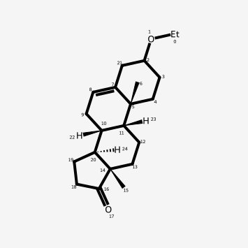 CCOC1CC[C@@]2(C)C(=CC[C@@H]3[C@H]2CC[C@]2(C)C(=O)CC[C@@H]32)C1